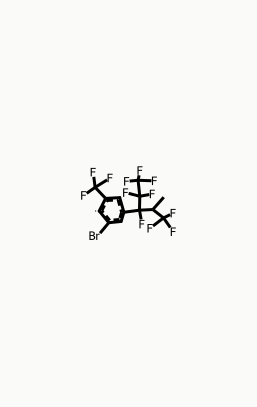 CC(C(F)(F)F)C(F)(c1cc(Br)[c]c(C(F)(F)F)c1)C(F)(F)C(F)(F)F